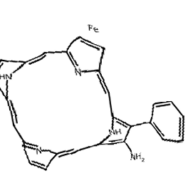 Nc1c(-c2ccccc2)c2cc3nc(cc4ccc(cc5nc(cc1[nH]2)C=C5)[nH]4)C=C3.[Fe]